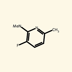 CNc1nc(C)ccc1F